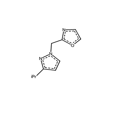 CC(C)c1ccn(Cc2ncco2)n1